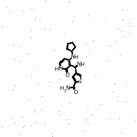 N=C(c1csc(C(N)=O)c1)c1c(NC2CCCC2)cc[nH]c1=O